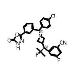 CC(C)(F)[C@H](c1cc(F)cc(C#N)c1)C1CN([C@@H](c2ccc(Cl)cc2)c2cccc(-c3n[nH]c(=O)o3)c2)C1